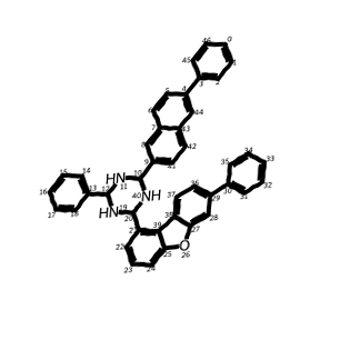 c1ccc(-c2ccc3cc(C4NC(c5ccccc5)NC(c5cccc6oc7cc(-c8ccccc8)ccc7c56)N4)ccc3c2)cc1